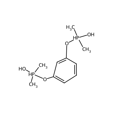 C[PH](C)(O)Oc1cccc(O[PH](C)(C)O)c1